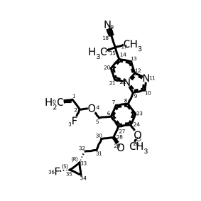 C=CC(F)OCc1cc(-c2cnc3cc(C(C)(C)C#N)ccn23)cc(OC)c1C(=O)CCC[C@@H]1C[C@@H]1F